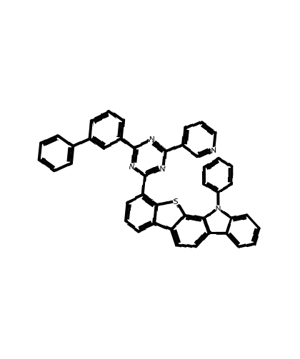 c1ccc(-c2cccc(-c3nc(-c4cccnc4)nc(-c4cccc5c4sc4c5ccc5c6ccccc6n(-c6ccccc6)c54)n3)c2)cc1